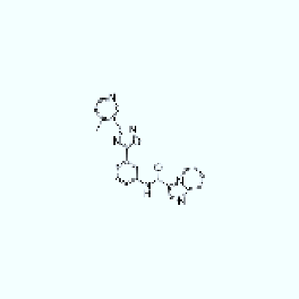 Cc1ccc(-c2nc(-c3cnccc3C)no2)cc1NC(=O)c1cnc2ccccn12